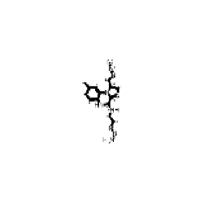 CC1C=C2C(=CC1)NC(NCCN=NN)C1=NCC(CN=[N+]=[N-])N21